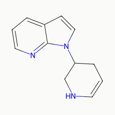 C1=CNCC(n2ccc3cccnc32)C1